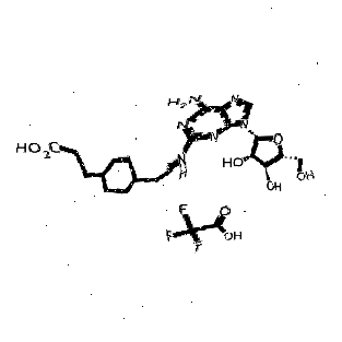 Nc1nc(NCCC2CCC(CCC(=O)O)CC2)nc2c1ncn2[C@@H]1O[C@H](CO)[C@@H](O)[C@H]1O.O=C(O)C(F)(F)F